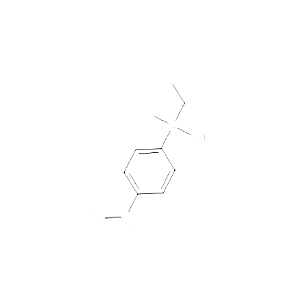 C[Si](C)(CCl)c1ccc(OC(F)(F)F)cc1